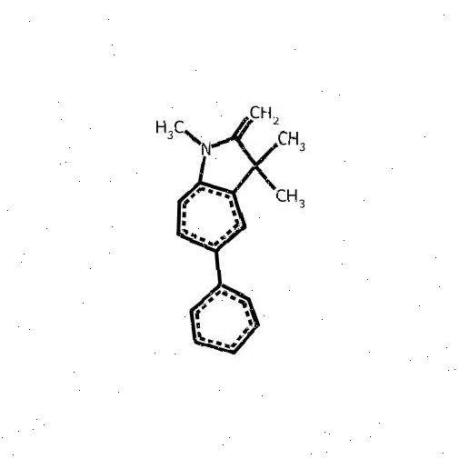 C=C1N(C)c2ccc(-c3ccccc3)cc2C1(C)C